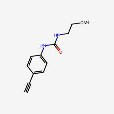 C#Cc1ccc(NC(=O)NCCOC)cc1